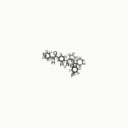 NC(c1ccc(C(=O)Nc2ccncc2)cc1)C1CCCN1C(=O)C1(c2ccc(F)cc2)CCCCC1